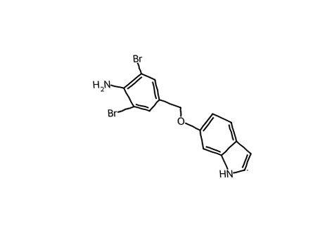 Nc1c(Br)cc(COc2ccc3c[c][nH]c3c2)cc1Br